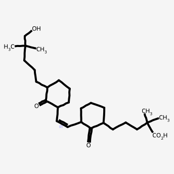 CC(C)(CO)CCCC1CCCC(/C=C\C2CCCC(CCCC(C)(C)C(=O)O)C2=O)C1=O